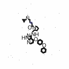 CN(C/C=C/C(=O)N1CCCC1CNc1n[nH]c2nccc(Oc3ccc(Oc4ccccc4)cc3)c12)C1CC1